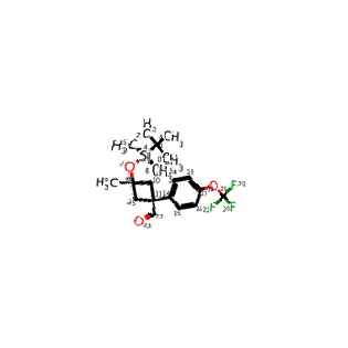 CC(C)(C)[Si](C)(C)O[C@]1(C)C[C@](C=O)(c2ccc(OC(F)(F)F)cc2)C1